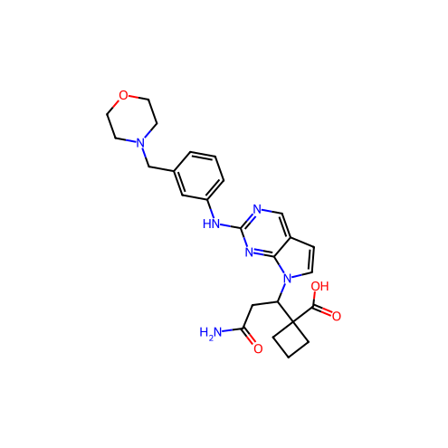 NC(=O)CC(n1ccc2cnc(Nc3cccc(CN4CCOCC4)c3)nc21)C1(C(=O)O)CCC1